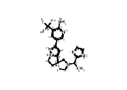 CC(c1ncc[nH]1)N1CC[C@@]2(CCn3nc(-c4cnc(N)c(C(F)(F)F)c4)cc32)C1